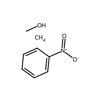 C.CO.O=[N+]([O-])c1ccccc1